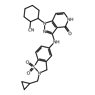 N#CC1CCCCC1n1nc(Nc2ccc3c(c2)CN(CC2CC2)S3(=O)=O)c2c(=O)[nH]ccc21